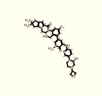 CC[C@H]1CN(C2COC2)CCN1c1ccc(Nc2cc(-c3cc(F)cc(N4CCn5c(cc6c5CC(C)(C)C6)C4=O)c3CO)cn(C)c2=O)nc1